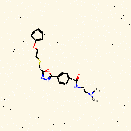 CN(C)CCNC(=O)c1ccc(-c2nnc(CSCCOc3ccccc3)o2)cc1